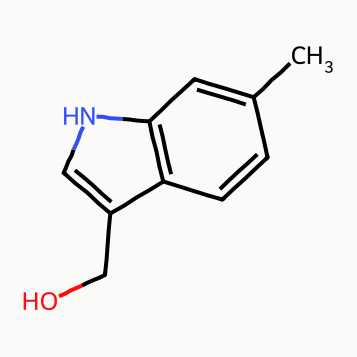 Cc1ccc2c(CO)c[nH]c2c1